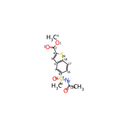 COC(=O)c1cc2cc(S(C)(=O)=NC(C)=O)ccc2s1